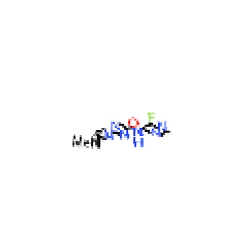 CN[C@@H]1CN(c2cnc(C(=O)Nc3cc(F)c4nc(C)cn4c3)cn2)C[C@H]1C